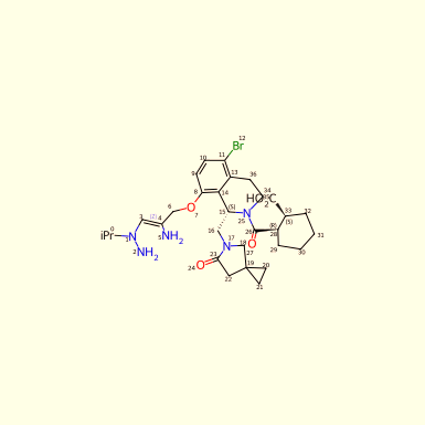 CC(C)N(N)/C=C(\N)COc1ccc(Br)c2c1[C@@H](CN1CC3(CC3)CC1=O)N(C(=O)[C@@H]1CCCC[C@@H]1C(=O)O)CC2